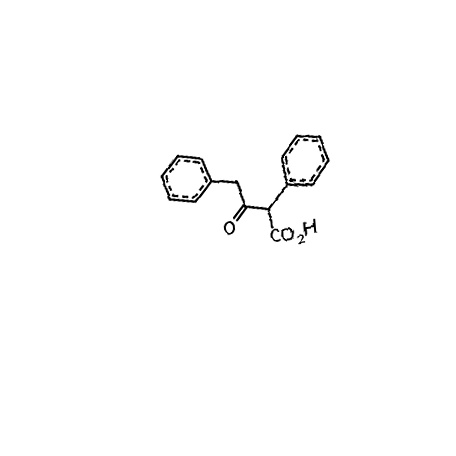 O=C(O)C(C(=O)Cc1ccccc1)c1ccccc1